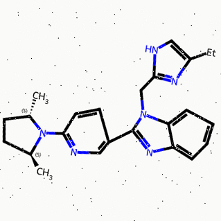 CCc1c[nH]c(Cn2c(-c3ccc(N4[C@@H](C)CC[C@@H]4C)nc3)nc3ccccc32)n1